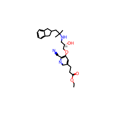 CCOC(=O)CCc1cnc(C#N)c(OC[C@@H](O)CNC(C)(C)CC2Cc3ccccc3C2)c1